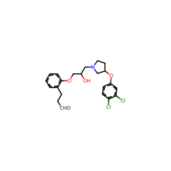 O=CCCc1ccccc1OCC(O)CN1CCC(Oc2ccc(Cl)c(Cl)c2)C1